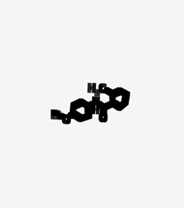 CCOc1ccc(NC(=O)c2ccccc2C)cc1